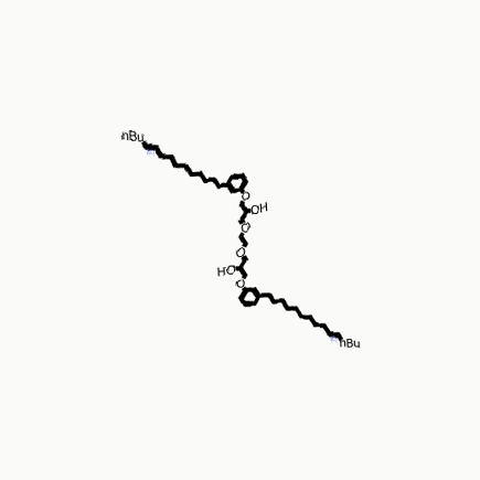 CCCC/C=C/CCCCCCCCCc1cccc(OCC(O)COCCOCC(O)COc2cccc(CCCCCCCCC/C=C/CCCC)c2)c1